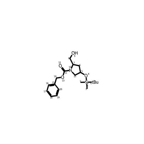 CC(C)(C)[Si](C)(C)OC1CC(CO)N(C(=O)OCc2ccccc2)C1